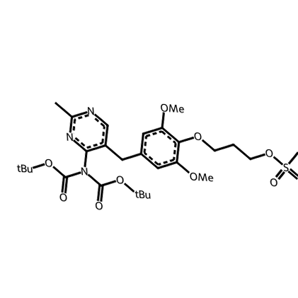 COc1cc(Cc2cnc(C)nc2N(C(=O)OC(C)(C)C)C(=O)OC(C)(C)C)cc(OC)c1OCCCOS(C)(=O)=O